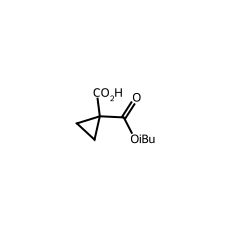 CC(C)COC(=O)C1(C(=O)O)CC1